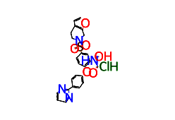 Cl.O=CNO.O=S(=O)(c1ccc(Oc2ccc(-c3ncccn3)cc2)cc1)N1CCc2ccoc2C1